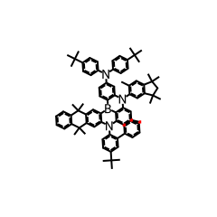 Cc1cc2c3c(c1)N(c1ccc(C(C)(C)C)cc1-c1ccccc1)c1cc4c(cc1B3c1ccc(N(c3ccc(C(C)(C)C)cc3)c3ccc(C(C)(C)C)cc3)cc1N2c1cc2c(cc1C)C(C)(C)CC2(C)C)C(C)(C)c1ccccc1C4(C)C